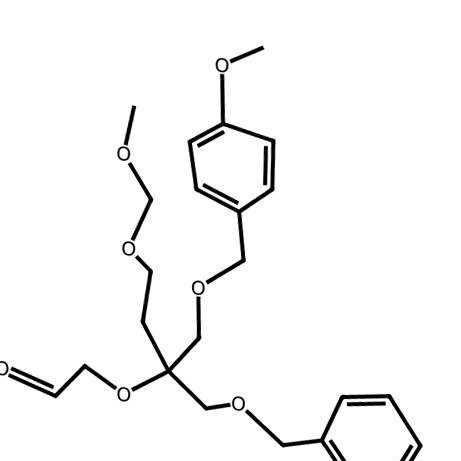 COCOCCC(COCc1ccccc1)(COCc1ccc(OC)cc1)OCC=O